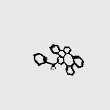 O=C(c1ccccc1)c1cc2c3ccccc3c3ccccc3c3cccc4c5ccccc5c(c1)c2c34